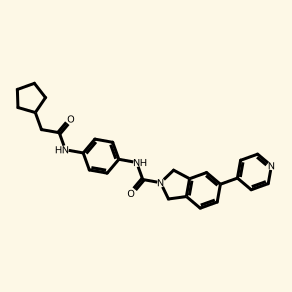 O=C(CC1CCCC1)Nc1ccc(NC(=O)N2Cc3ccc(-c4ccncc4)cc3C2)cc1